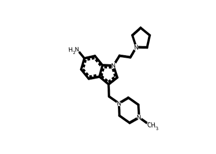 CN1CCN(Cc2cn(CCN3CCCC3)c3cc(N)ccc23)CC1